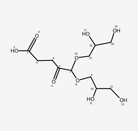 O=C(O)CCC(=O)C(OCC(O)CO)OCC(O)CO